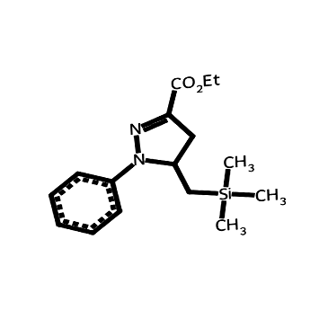 CCOC(=O)C1=NN(c2ccccc2)C(C[Si](C)(C)C)C1